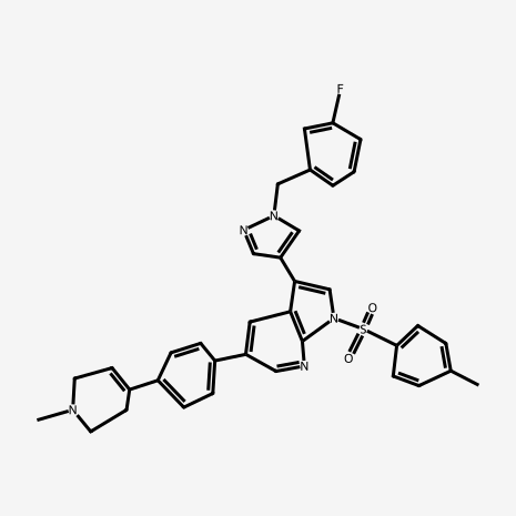 Cc1ccc(S(=O)(=O)n2cc(-c3cnn(Cc4cccc(F)c4)c3)c3cc(-c4ccc(C5=CCN(C)CC5)cc4)cnc32)cc1